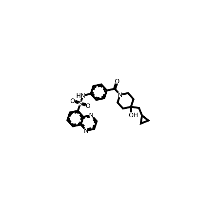 O=C(c1ccc(NS(=O)(=O)c2cccc3nccnc23)cc1)N1CCC(O)(CC2CC2)CC1